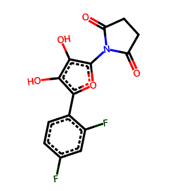 O=C1CCC(=O)N1c1oc(-c2ccc(F)cc2F)c(O)c1O